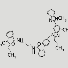 CCCCC(C)c1ccccc1C(=O)NCCCCNC(=O)c1ccccc1-c1ccc(Cn2c(CCC)nc3c(C)cc(-c4nc5ccccc5n4C)cc32)cc1